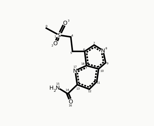 CS(=O)(=O)CCc1cncc2ccc(C(N)=O)nc12